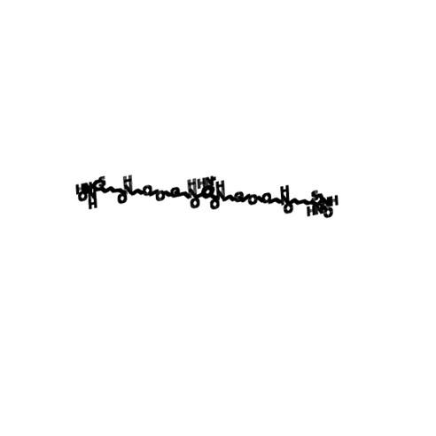 CNc1cc(C(=O)NCCCOCCOCCOCCCNC(=O)CCCCC2SCC3NC(=O)NC32)cc(C(=O)NCCCOCCOCCOCCCNC(=O)CCCCC2SCC3NC(=O)NC32)c1